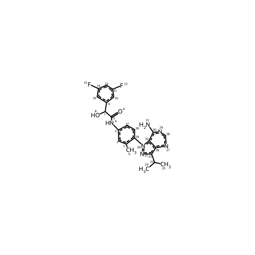 Cc1cc(NC(=O)C(O)c2cc(F)cc(F)c2)ccc1-n1nc(C(C)C)c2ncnc(N)c21